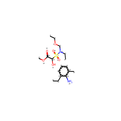 CCOCN(CC)S(=O)(=O)C(O)C(=O)OC.CCc1cccc(C)c1N